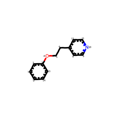 [c]1ccc(OCCc2ccncc2)cc1